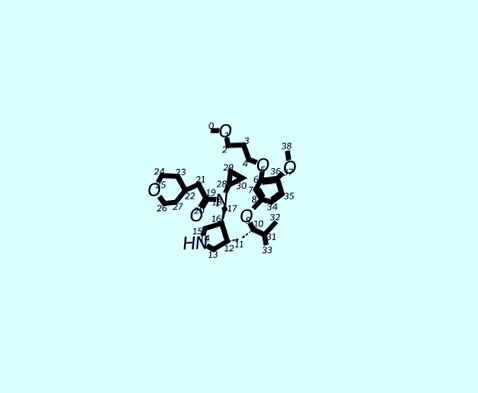 COCCCOc1cc(O[C@@H](C[C@@H]2CNC[C@H]2CN(C(=O)CC2CCOCC2)C2CC2)C(C)C)ccc1OC